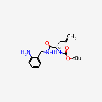 C=CC[C@H](NC(=O)OC(C)(C)C)C(=O)NCc1ccccc1N